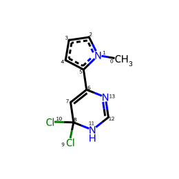 Cn1cccc1C1=CC(Cl)(Cl)NC=N1